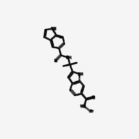 CC(C)NC(=O)c1ccc2cc(C(C)(C)NC(=O)c3ccc4[nH]ccc4c3)[nH]c2c1